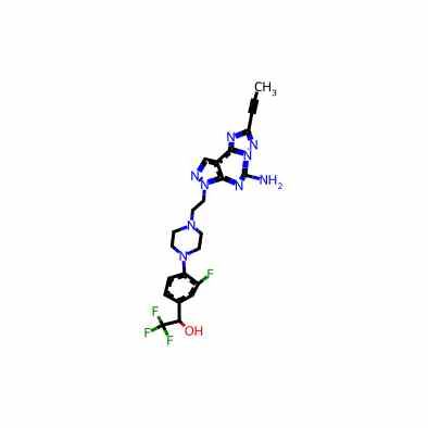 CC#Cc1nc2c3cnn(CCN4CCN(c5ccc(C(O)C(F)(F)F)cc5F)CC4)c3nc(N)n2n1